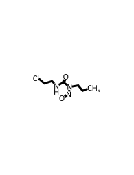 CCCN(N=O)C(=O)NCCCl